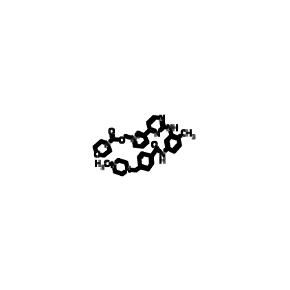 Cc1ccc(NC(=O)c2ccc(CN3CCN(C)CC3)cc2)cc1Nc1nccc(-c2ccc[n+](COC(=O)N3CCOCC3)c2)n1